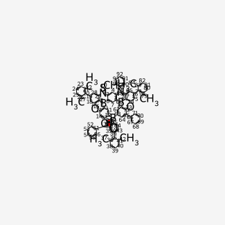 CSN1c2cc3c(cc2B2c4cc5c(cc4Oc4cc(-c6c(C)cccc6C)cc1c42)Oc1cc(-c2c(C)cccc2C)cc2c1B5c1ccc(-c4ccccc4)cc1O2)B1c2cccc(-c4ccccc4)c2Oc2cc(-c4c(C)cccc4C)cc(c21)N3c1ccccc1